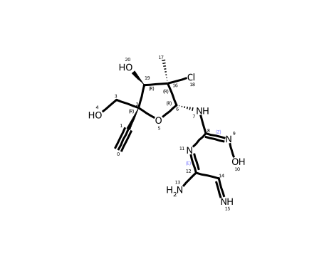 C#C[C@]1(CO)O[C@@H](NC(=N/O)/N=C(/N)C=N)[C@](C)(Cl)[C@@H]1O